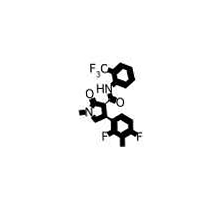 Cc1c(F)ccc([C@H]2CN(C)C(=O)[C@@H]2C(=O)Nc2ccccc2C(F)(F)F)c1F